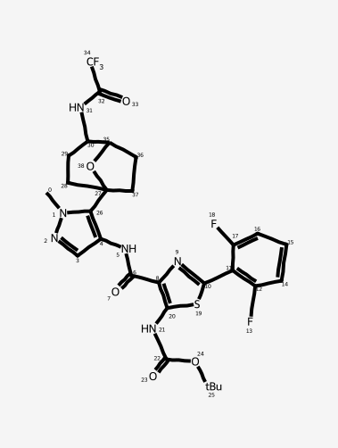 Cn1ncc(NC(=O)c2nc(-c3c(F)cccc3F)sc2NC(=O)OC(C)(C)C)c1C12CCC(NC(=O)C(F)(F)F)C(CC1)O2